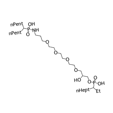 CCCCCCCC(CC)P(=O)(O)OCC(O)COCCOCCOCCOCCCNP(=O)(O)C(CCCCC)CCCCC